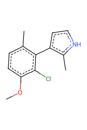 COc1ccc(C)c(-c2cc[nH]c2C)c1Cl